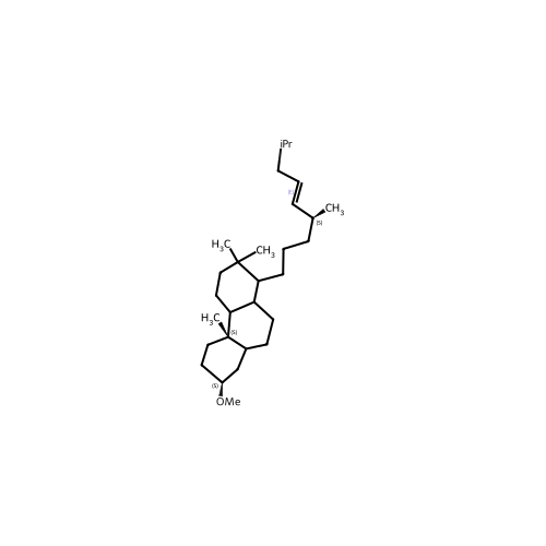 CO[C@H]1CC[C@@]2(C)C(CCC3C(CCC[C@H](C)/C=C/CC(C)C)C(C)(C)CCC32)C1